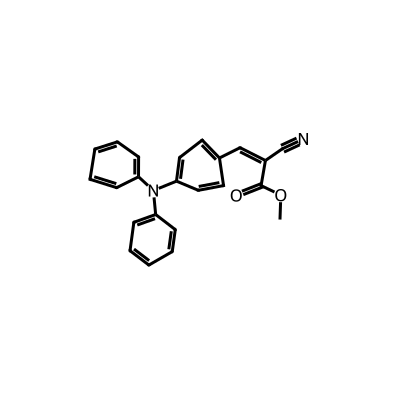 COC(=O)C(C#N)=Cc1ccc(N(c2ccccc2)c2ccccc2)cc1